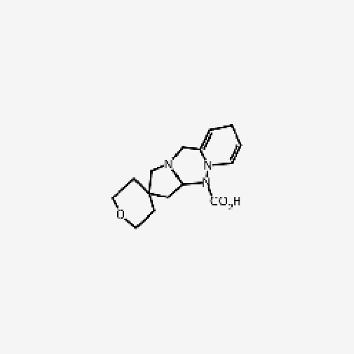 O=C(O)N1C2CC3(CCOCC3)CN2CC2=CCC=CN21